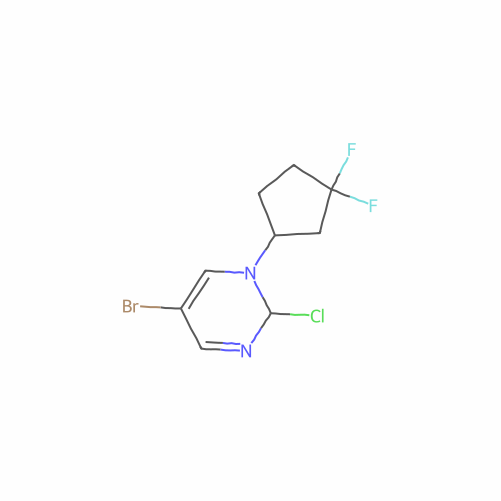 FC1(F)CCC(N2C=C(Br)C=NC2Cl)C1